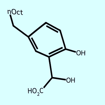 CCCCCCCCCc1ccc(O)c(C(O)C(=O)O)c1